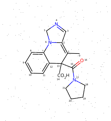 CC1=C2C=NCN2c2ccccc2C1(C(=O)O)C(=O)N1CCCC1